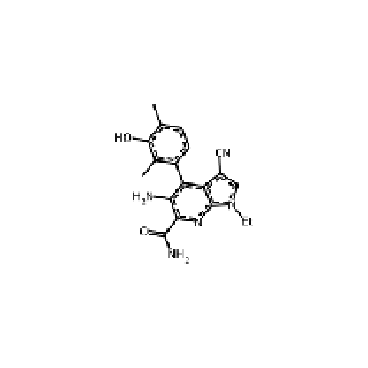 CCn1cc(C#N)c2c(-c3ccc(C)c(O)c3C)c(N)c(C(N)=O)nc21